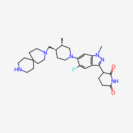 C[C@H]1CN(c2cc3c(cc2F)c(C2CCC(=O)NC2=O)nn3C)CC[C@H]1CN1CCC2(CCNCC2)CC1